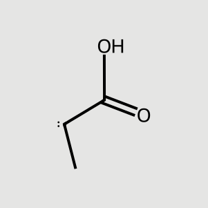 C[C]C(=O)O